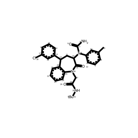 Cc1cccc(N(C(N)=O)C2CC(c3cccc(Cl)c3)c3ccccc3N(CC(=O)NC(C)(C)C)C2=O)c1